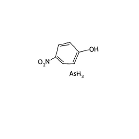 O=[N+]([O-])c1ccc(O)cc1.[AsH3]